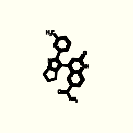 Cc1cccc(-c2nn3c(c2-c2cc(=O)[nH]c4ccc(C(N)=O)cc24)CCC3)n1